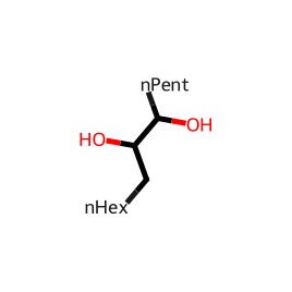 [CH2]CCCCC(O)C(O)CCCCCCC